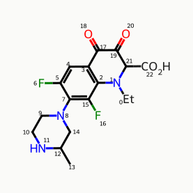 CCN1c2c(cc(F)c(N3CCNC(C)C3)c2F)C(=O)C(=O)C1C(=O)O